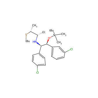 CC[C@H](N[C@H](c1ccc(Cl)cc1)[C@@H](O[Si](C)(C)C(C)(C)C)c1cccc(Cl)c1)[C@@H](C)SC(C)(C)C